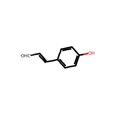 O=[C]C=Cc1ccc(O)cc1